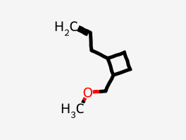 C=CCC1CCC1COC